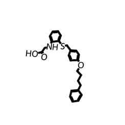 O=C(O)CNc1ccccc1SCc1ccc(OCCCCc2ccccc2)cc1